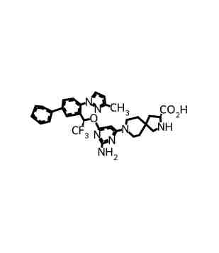 Cc1ccn(-c2ccc(-c3ccccc3)cc2[C@@H](Oc2cc(N3CCC4(CC3)CN[C@H](C(=O)O)C4)nc(N)n2)C(F)(F)F)n1